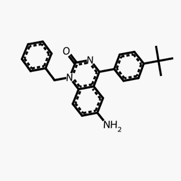 CC(C)(C)c1ccc(-c2nc(=O)n(Cc3ccccc3)c3ccc(N)cc23)cc1